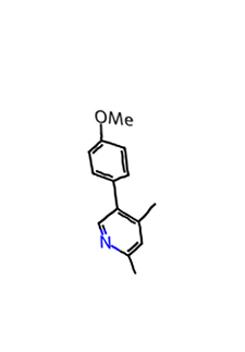 COc1ccc(-c2cnc(C)cc2C)cc1